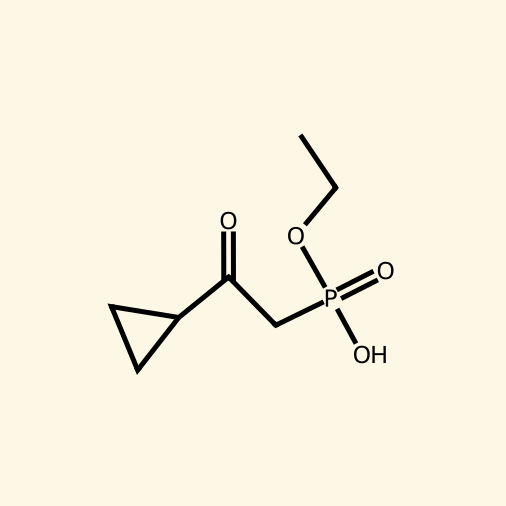 CCOP(=O)(O)CC(=O)C1CC1